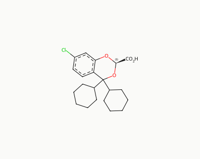 O=C(O)[C@@H]1Oc2cc(Cl)ccc2C(C2CCCCC2)(C2CCCCC2)O1